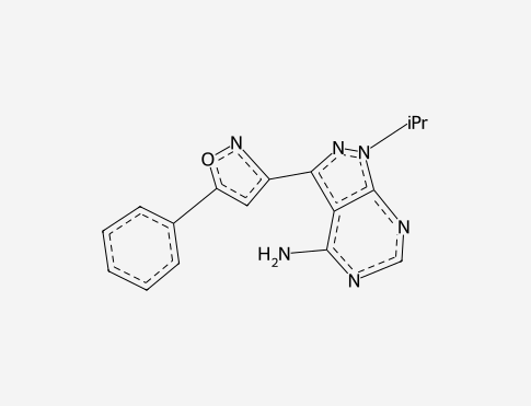 CC(C)n1nc(-c2cc(-c3ccccc3)on2)c2c(N)ncnc21